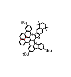 CC(C)(C)c1ccc(N2c3cc4ccccc4c4c3B(c3sc5cc6c(cc5c32)C(C)(C)CCC6(C)C)n2c3ccc(C(C)(C)C)cc3c3cc(C(C)(C)C)cc-4c32)c(-c2ccccc2)c1